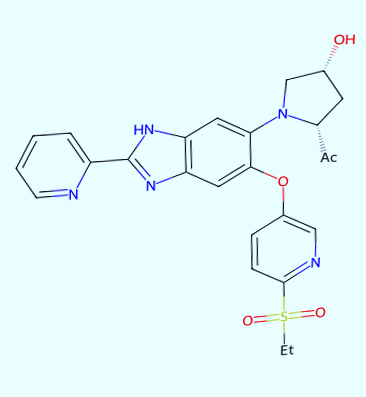 CCS(=O)(=O)c1ccc(Oc2cc3nc(-c4ccccn4)[nH]c3cc2N2C[C@H](O)C[C@@H]2C(C)=O)cn1